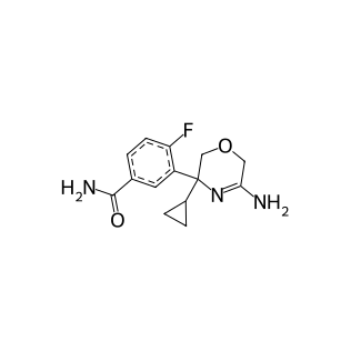 NC(=O)c1ccc(F)c(C2(C3CC3)COCC(N)=N2)c1